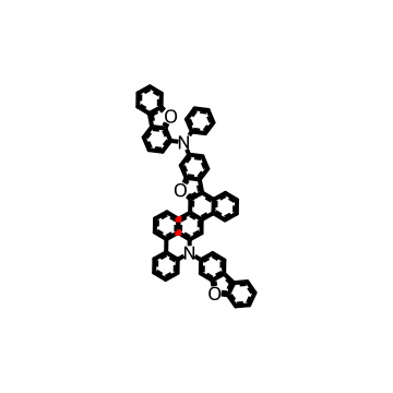 c1ccc(-c2ccccc2N(c2ccc3c(c2)oc2ccccc23)c2ccc3c(c2)c2ccccc2c2c4ccc(N(c5ccccc5)c5cccc6c5oc5ccccc56)cc4oc32)cc1